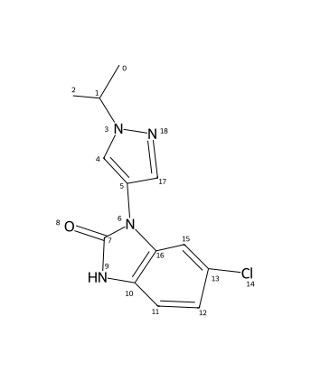 CC(C)n1cc(-n2c(=O)[nH]c3ccc(Cl)cc32)cn1